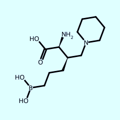 N[C@H](C(=O)O)[C@H](CCCB(O)O)CN1CCCCC1